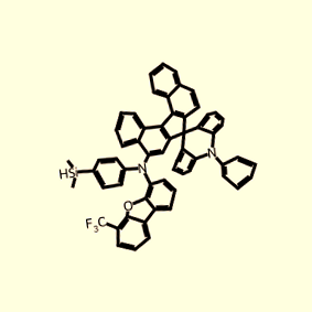 C[SiH](C)c1ccc(N(c2cc3c(c4ccccc24)-c2c(ccc4ccccc24)C32c3ccccc3N(c3ccccc3)c3ccccc32)c2cccc3c2oc2c(C(F)(F)F)cccc23)cc1